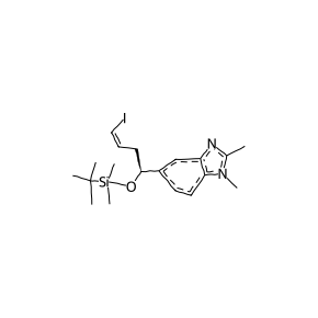 Cc1nc2cc([C@H](C/C=C\I)O[Si](C)(C)C(C)(C)C)ccc2n1C